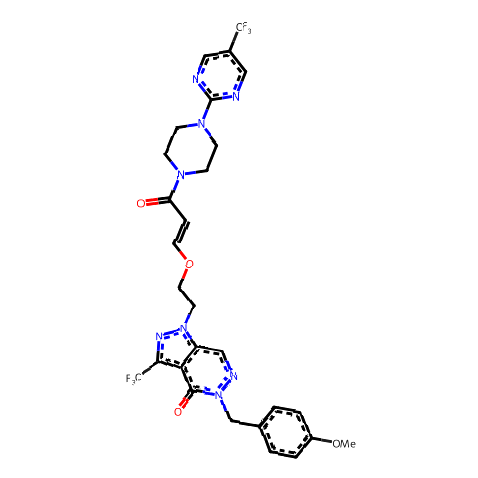 COc1ccc(Cn2ncc3c(c(C(F)(F)F)nn3CCOC=CC(=O)N3CCN(c4ncc(C(F)(F)F)cn4)CC3)c2=O)cc1